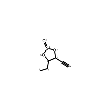 C#CC1OS(=O)OC1CC